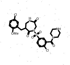 COc1ccc(Cl)cc1CC1CNC(=O)CN(S(=O)(=O)c2ccc(Cl)c(C(=O)N3CCNCC3)c2)C1=O